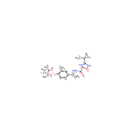 Cc1cc([C@@H](C)NC(=O)c2nc(C3(C)CC3)no2)ccc1B1OC(C)(C)C(C)(C)O1